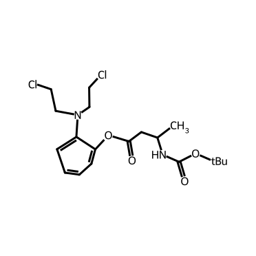 CC(CC(=O)Oc1ccccc1N(CCCl)CCCl)NC(=O)OC(C)(C)C